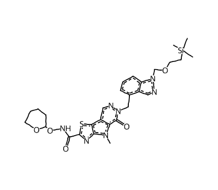 Cn1c2nc(C(=O)NOC3CCCCO3)sc2c2cnn(Cc3cccc4c3cnn4COCC[Si](C)(C)C)c(=O)c21